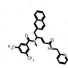 CN(C(=O)c1cc(C(F)(F)F)cc(C(F)(F)F)c1)C(C=CC(=O)NCc1ccccn1)Cc1ccc2ccccc2c1